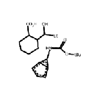 CC(C)(C)OC(=O)Nc1c2cccc1-2.CCC(O)C1CCCCC1C(=O)O